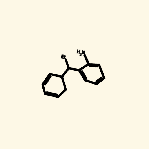 CCC(c1ccccc1N)C1C=CC=CC1